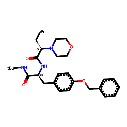 CC(C)C[C@@H](C(=O)N[C@@H](Cc1ccc(OCc2ccccc2)cc1)C(=O)NC(C)(C)C)N1CCOCC1